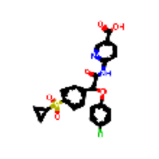 O=C(O)c1ccc(NC(=O)C(Oc2ccc(Cl)cc2)c2ccc(S(=O)(=O)C3CC3)cc2)nc1